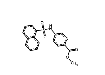 COC(=O)c1ccc(NS(=O)(=O)c2cccc3ccccc23)cn1